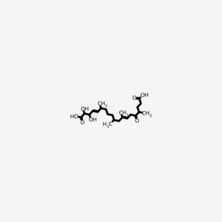 C/C(=C\CC(=O)C(C)CCC(=O)O)CC(C)CCCC(C)/C=C/C(O)C(O)C(=O)O